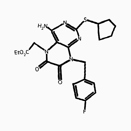 CCOC(=O)Cn1c(=O)c(=O)n(Cc2ccc(F)cc2)c2nc(SC3CCCC3)nc(N)c21